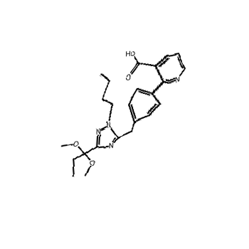 CCCCn1nc(C(CC)(OC)OC)nc1Cc1ccc(-c2ncccc2C(=O)O)cc1